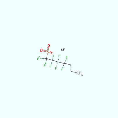 O=S(=O)([O-])C(F)(F)C(F)(F)C(F)(F)C(F)(F)CCC(F)(F)F.[Li+]